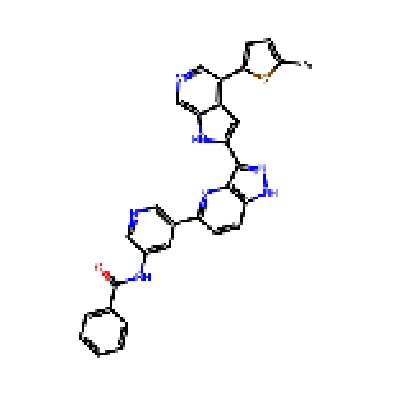 CC(=O)c1ccc(-c2cncc3[nH]c(-c4n[nH]c5ccc(-c6cncc(NC(=O)c7ccccc7)c6)nc45)cc23)s1